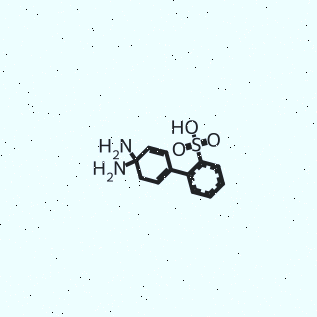 NC1(N)C=CC(c2ccccc2S(=O)(=O)O)=CC1